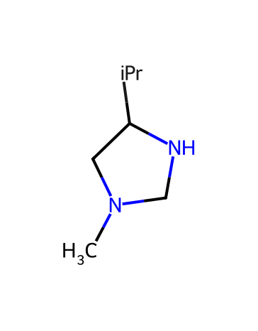 CC(C)C1CN(C)CN1